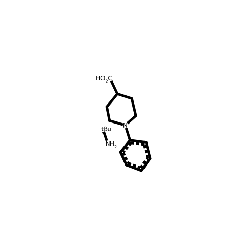 CC(C)(C)N.O=C(O)C1CCN(c2ccccc2)CC1